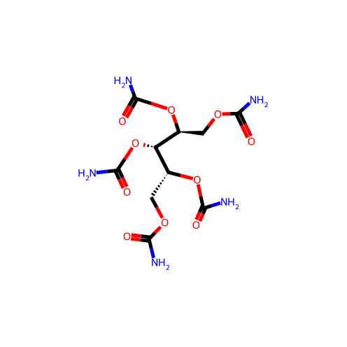 NC(=O)OC[C@H](OC(N)=O)[C@@H](OC(N)=O)[C@@H](COC(N)=O)OC(N)=O